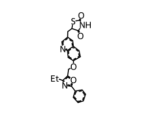 CCc1nc(-c2ccccc2)oc1COc1ccc2cc(CC3SC(=O)NC3=O)cnc2c1